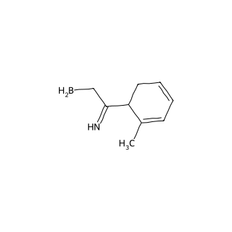 BCC(=N)C1CC=CC=C1C